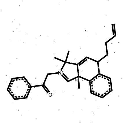 C=CCCC1C=C2C(C)(C)[N+](CC(=O)c3ccccc3)=C[C@@]2(C)c2ccccc21